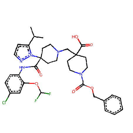 CC(C)c1ccnn1C1(C(=O)Nc2ccc(Cl)cc2OC(F)F)CCN(CC2(C(=O)O)CCN(C(=O)OCc3ccccc3)CC2)CC1